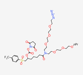 CCCOCCOCCOCCN(CCOCCOCCOCCN=[N+]=[N-])C(=O)CCCCC(CS(=O)(=O)c1ccc(C(F)(F)F)cc1)OC(=O)ON1C(=O)CCC1=O